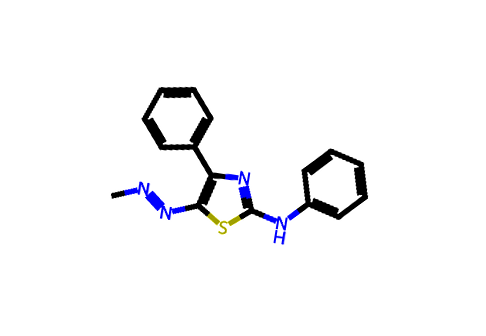 C/N=N/c1sc(Nc2ccccc2)nc1-c1ccccc1